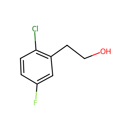 OCCc1cc(F)ccc1Cl